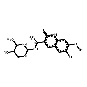 COC1NC(N[C@@H](C)c2cc3cc(Cl)c(OC(C)C)cc3[nH]c2=O)NCC1C#N